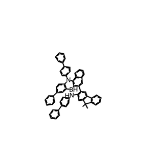 CC1(C)c2ccccc2-c2cc(-c3cc4ccccc4c4c3Bc3cc(-c5ccccc5)ccc3N4c3ccc(-c4ccccc4)cc3)c(Nc3ccc(-c4ccccc4)cc3)cc21